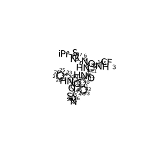 CC(C)c1nc(CN(C)C(=O)N[C@@H](CCNCC(F)(F)F)C(=O)N[C@H](CC[C@H](Cc2ccccc2)NC(=O)OCc2cncs2)Cc2ccccc2)cs1